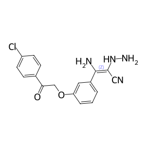 N#C/C(NN)=C(/N)c1cccc(OCC(=O)c2ccc(Cl)cc2)c1